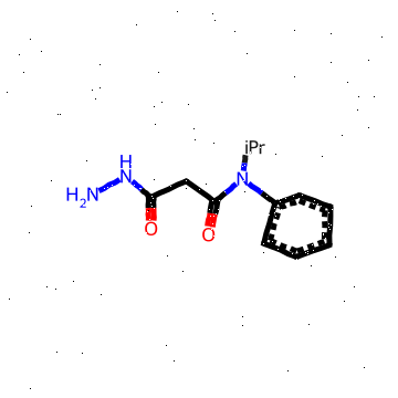 CC(C)N(C(=O)CC(=O)NN)c1ccccc1